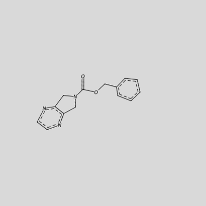 O=C(OCc1ccccc1)N1Cc2nccnc2C1